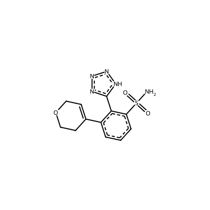 NS(=O)(=O)c1cccc(C2=CCOCC2)c1-c1nnn[nH]1